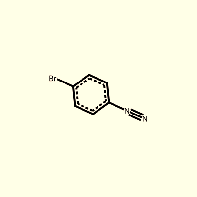 N#[N+]c1ccc(Br)cc1